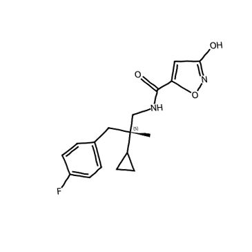 C[C@](CNC(=O)c1cc(O)no1)(Cc1ccc(F)cc1)C1CC1